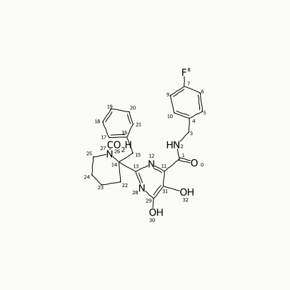 O=C(NCc1ccc(F)cc1)c1nc(C2(Cc3ccccc3)CCCCN2C(=O)O)nc(O)c1O